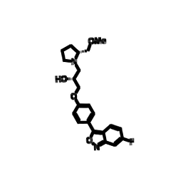 COC[C@H]1CCCN1C[C@@H](O)COc1ccc(-c2onc3cc(F)ccc23)cc1